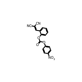 N#CC(C#N)=Cc1ccccc1OC(=O)Oc1ccc([N+](=O)[O-])cc1